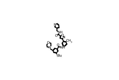 Cc1ccc(NC(=O)c2cc(CN3CCOCC3)cc(C(C)(C)C)c2)cc1-c1cc(C(=O)NCc2cccnc2)on1